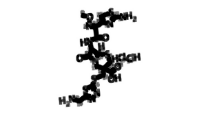 CON=C(C(=O)NC1C(=O)N2CC(CSc3nnc(CN)s3)(C(=O)O)CS[C@H]12)c1csc(N)n1.Cl.Cl